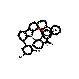 N#Cc1cc(C#N)cc(-c2cccc3c4cccc(-c5cc(C#N)cc(C#N)c5)c4n(-c4cccc5c4C(=O)N(c4ccccc4-c4ccccc4)C5=O)c23)c1